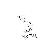 C=C(C)C(=O)OC1CCC(CCC)C1